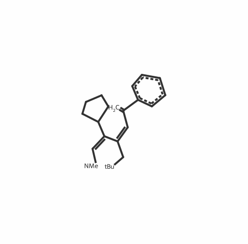 C=C(/C=C(CC(C)(C)C)\C(=C/NC)C1CCCC1)c1ccccc1